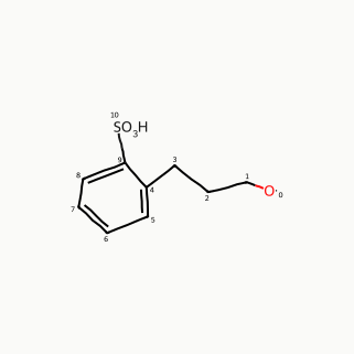 [O]CCCc1ccccc1S(=O)(=O)O